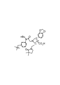 CCCCN(C(=O)CN1C[C@H](c2ccc3c(c2)OCO3)[C@@H](C(=O)O)[C@@H]1CCN1CCC(C)(C)C1=O)c1cccc(C[N+](C)(C)C)c1